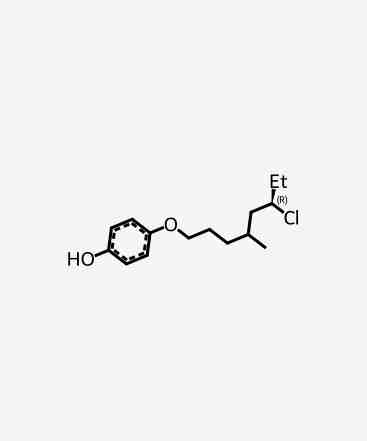 CC[C@@H](Cl)CC(C)CCCOc1ccc(O)cc1